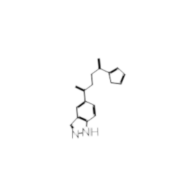 C=C(CCC(=C)c1ccc2[nH]ncc2c1)C1=CC=CC1